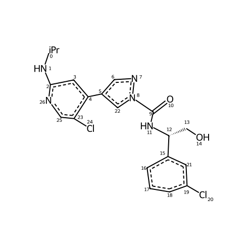 CC(C)Nc1cc(-c2cnn(C(=O)N[C@H](CO)c3cccc(Cl)c3)c2)c(Cl)cn1